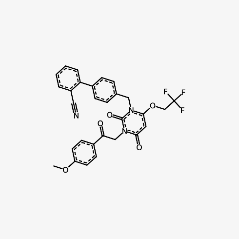 COc1ccc(C(=O)Cn2c(=O)cc(OCC(F)(F)F)n(Cc3ccc(-c4ccccc4C#N)cc3)c2=O)cc1